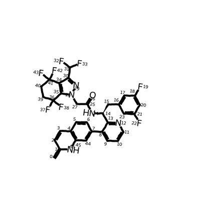 C=C1C=Cc2ccc(-c3cccnc3[C@H](Cc3cc(F)cc(F)c3)NC(=O)Cn3nc(C(F)F)c4c3C(F)(F)CCC4(F)F)cc2N1